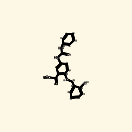 COC(=O)c1cc(NC(=O)Nc2ccccc2)ccc1OCc1ccccc1Cl